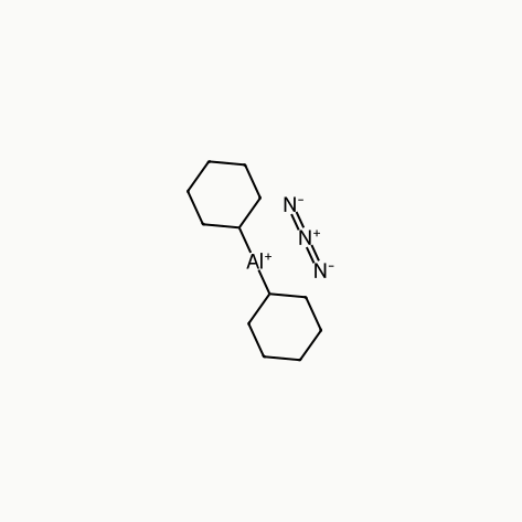 C1CC[CH]([Al+][CH]2CCCCC2)CC1.[N-]=[N+]=[N-]